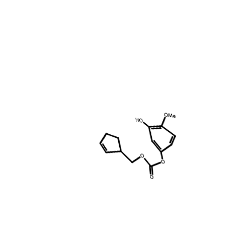 COc1ccc(OC(=O)OCC2C=CCC2)cc1O